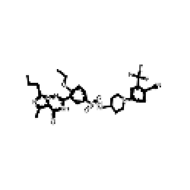 CCCc1nc(C)c2c(=O)[nH]c(-c3cc(S(=O)(=O)NC4CCN(c5ccc(C#N)c(C(F)(F)F)c5)CC4)ccc3OCC)nn12